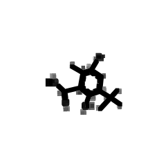 Cc1c(Br)cc(C(C)(C)C)c(O)c1C(=O)O